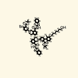 CC(C)(C)OC(=O)c1nc(N2CCc3cccc(C(=O)Nc4nc5ccccc5s4)c3C2)ccc1Br.Cc1c(OCCCCCCCO)cccc1-c1ccc(N2CCc3cccc(C(=O)Nc4nc5ccccc5s4)c3C2)nc1C(=O)OC(C)(C)C